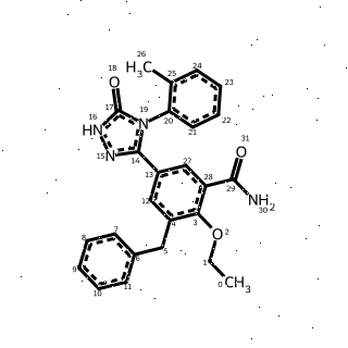 CCOc1c(Cc2ccccc2)cc(-c2n[nH]c(=O)n2-c2ccccc2C)cc1C(N)=O